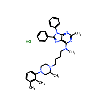 Cc1nc(N(C)CCCCN2CCN(c3cccc(C)c3C)CC2C)c2nc(-c3ccccc3)n(-c3ccccc3)c2n1.Cl